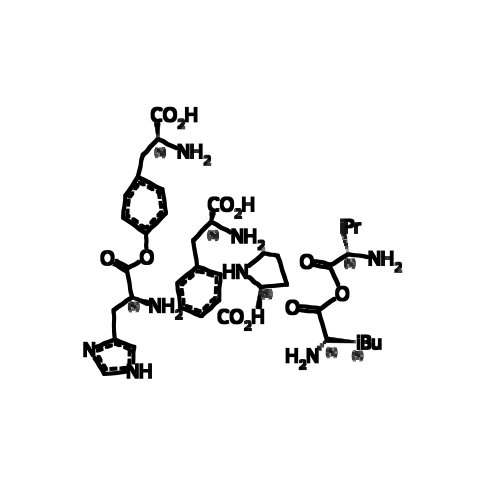 CC[C@H](C)[C@H](N)C(=O)OC(=O)[C@@H](N)C(C)C.N[C@@H](Cc1ccc(OC(=O)[C@@H](N)Cc2c[nH]cn2)cc1)C(=O)O.N[C@@H](Cc1ccccc1)C(=O)O.O=C(O)[C@@H]1CCCN1